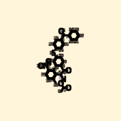 CC(=O)O/N=C(/C(=O)c1ccc(Sc2ccc(C(=O)c3ccccc3)cc2)cc1)c1cc([N+](=O)[O-])ccc1C